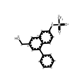 O=S(=O)(Oc1ccc2c(-c3ccccc3)cc(CO)cc2c1)C(F)(F)F